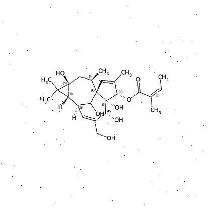 C/C=C(/C)C(=O)O[C@H]1C(C)=C[C@]23C(O)[C@@H](C=C(CO)[C@@H](O)[C@]12O)[C@@H]1C(C)(C)[C@]1(O)C[C@H]3C